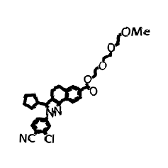 COCCOCCOCCOC(=O)c1ccc2c(c1)CCC1C2=NN(c2ccc(C#N)c(Cl)c2)C1C1CCCC1